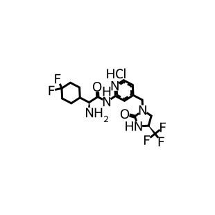 Cl.N[C@H](C(=O)Nc1cc(CN2C[C@@H](C(F)(F)F)NC2=O)ccn1)C1CCC(F)(F)CC1